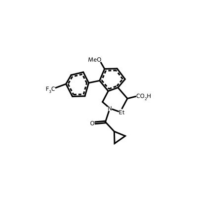 CCN(Cc1c(C(C)C(=O)O)ccc(OC)c1-c1ccc(C(F)(F)F)cc1)C(=O)C1CC1